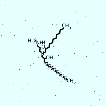 C=C=C=C=C=C=C=C=C=CC(O)CN(CCCNC)CC(O)CCCCCCCCCC